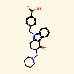 O=C(O)c1ccc(Cn2c3c(c4ccccc42)C(=O)C(CN2CCCCC2)CC3)cc1